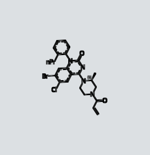 C=CC(=O)N1CCN(c2nc(=O)n(-c3ccccc3CCC)c3cc(Br)c(Cl)cc23)[C@@H](C)C1